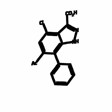 CC(=O)c1cc(Cl)c2c(C(=O)O)n[nH]c2c1-c1ccccc1